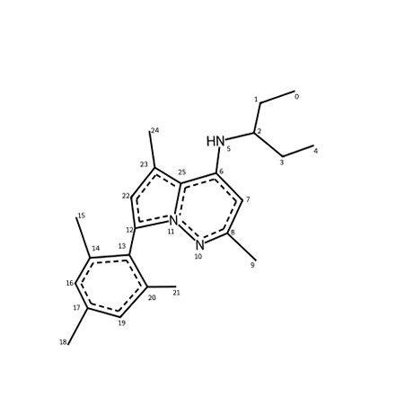 CCC(CC)Nc1cc(C)nn2c(-c3c(C)cc(C)cc3C)cc(C)c12